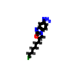 Nc1ccc2c(c1)nc1n2CC(CCCCCCF)O1